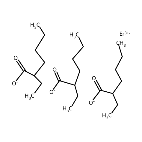 CCCCC(CC)C(=O)[O-].CCCCC(CC)C(=O)[O-].CCCCC(CC)C(=O)[O-].[Er+3]